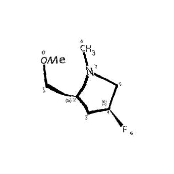 COC[C@@H]1C[C@H](F)CN1C